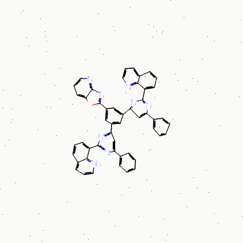 c1ccc(-c2cc(-c3cc(-c4cc(-c5ccccc5)nc(-c5cccc6cccnc56)n4)cc(-c4nc5ncccc5o4)c3)nc(-c3cccc4cccnc34)n2)cc1